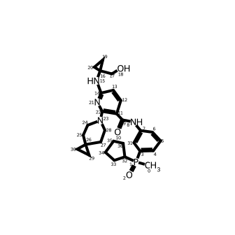 CP(=O)(c1cccc(NC(=O)c2ccc(NC3(CO)CC3)nc2N2CCC3(CC2)CC3)c1)C1CCCC1